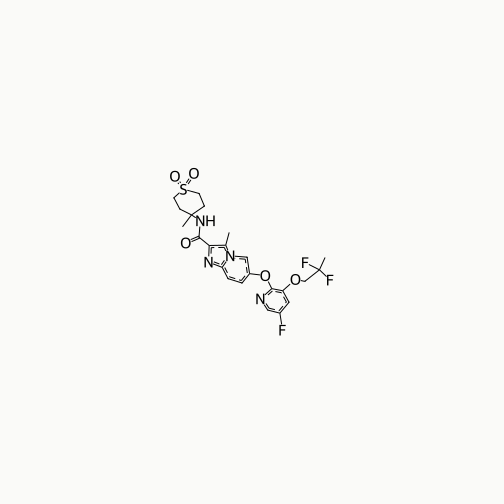 Cc1c(C(=O)NC2(C)CCS(=O)(=O)CC2)nc2ccc(Oc3ncc(F)cc3OCC(C)(F)F)cn12